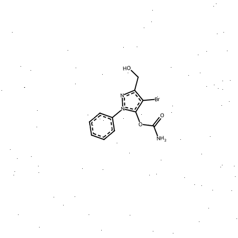 NC(=O)Oc1c(Br)c(CO)nn1-c1ccccc1